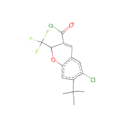 CC(C)(C)c1cc2c(cc1Cl)C=C(C(=O)Cl)C(C(F)(F)F)O2